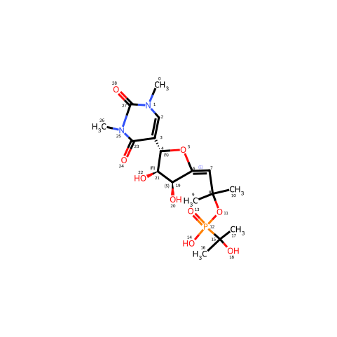 Cn1cc([C@@H]2O/C(=C/C(C)(C)OP(=O)(O)C(C)(C)O)[C@@H](O)[C@H]2O)c(=O)n(C)c1=O